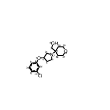 OCC1(N2CC[C@@H](Oc3cccc(Cl)c3)C2)CCOCC1